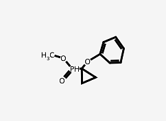 CO[PH](=O)C1(Oc2ccccc2)CC1